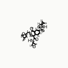 Cc1cc(Cn2nc(C(=O)NC3COC3)c3ccc(S(=O)(=O)NC4(C)CC4)cc3c2=O)on1